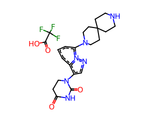 O=C(O)C(F)(F)F.O=C1CCN(c2cnn3c(N4CCC5(CCNCC5)CC4)cccc23)C(=O)N1